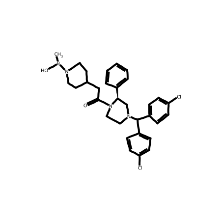 CB(O)N1CCC(CC(=O)N2CCN(C(c3ccc(Cl)cc3)c3ccc(Cl)cc3)C[C@@H]2c2ccccc2)CC1